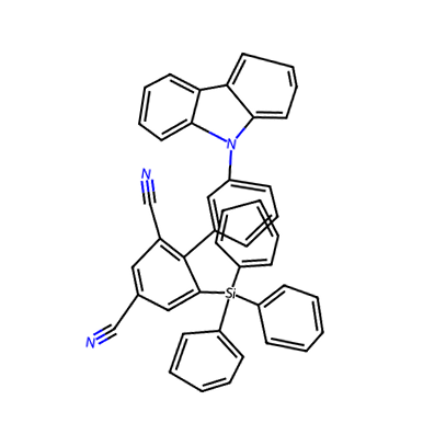 N#Cc1cc(C#N)c(-c2cccc(-n3c4ccccc4c4ccccc43)c2)c([Si](c2ccccc2)(c2ccccc2)c2ccccc2)c1